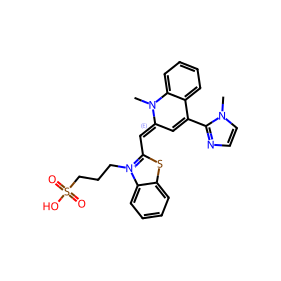 CN1/C(=C/c2sc3ccccc3[n+]2CCCS(=O)(=O)O)C=C(c2nccn2C)c2ccccc21